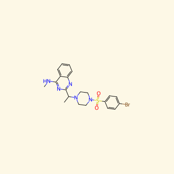 CNc1nc(C(C)N2CCN(S(=O)(=O)c3ccc(Br)cc3)CC2)nc2ccccc12